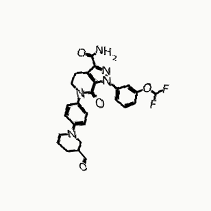 NC(=O)c1nn(-c2cccc(OC(F)F)c2)c2c1CCN(c1ccc(N3CCCC(C=O)C3)cc1)C2=O